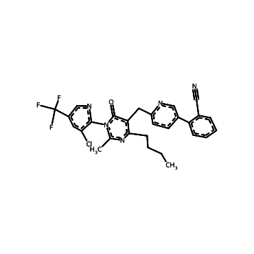 CCCCc1nc(C)n(-c2ncc(C(F)(F)F)cc2Cl)c(=O)c1Cc1ccc(-c2ccccc2C#N)cn1